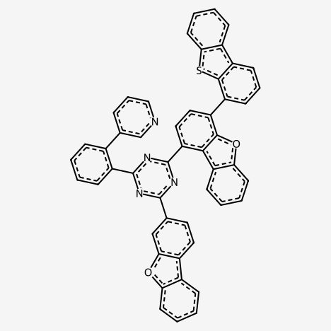 c1cncc(-c2ccccc2-c2nc(-c3ccc4c(c3)oc3ccccc34)nc(-c3ccc(-c4cccc5c4sc4ccccc45)c4oc5ccccc5c34)n2)c1